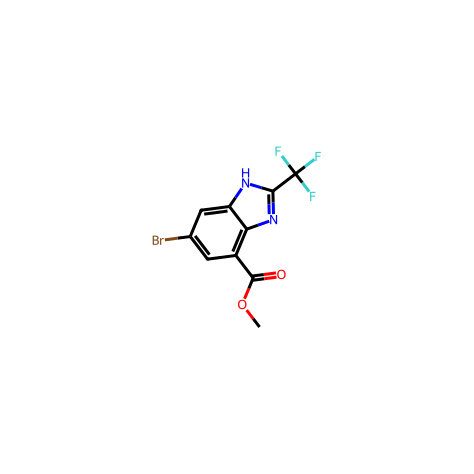 COC(=O)c1cc(Br)cc2[nH]c(C(F)(F)F)nc12